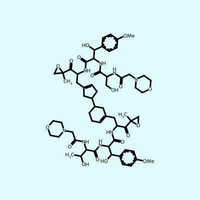 COc1ccc(C(O)C(NC(=O)C(CO)NC(=O)CN2CCOCC2)C(=O)NC(CC2=CCC(C3CCC=C(CC(NC(=O)C(NC(=O)C(NC(=O)CN4CCOCC4)C(C)O)C(O)c4ccc(OC)cc4)C(=O)C4(C)CO4)C3)C2)C(=O)C2(C)CO2)cc1